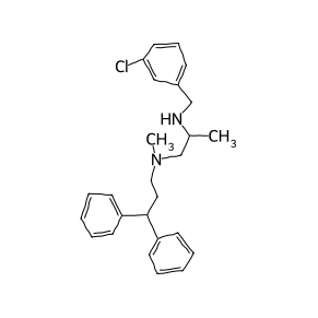 CC(CN(C)CCC(c1ccccc1)c1ccccc1)NCc1cccc(Cl)c1